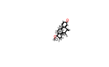 C=C1C2=CC(=O)C=C[C@]2(C)[C@H]2CC[C@]3(C)[C@@H](OS(=O)(=O)O)CC[C@H]3[C@@H]2C1C